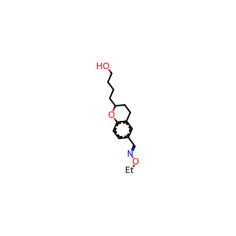 CCON=Cc1ccc2c(c1)CCC(CCCCO)O2